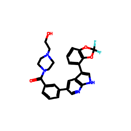 O=C(c1cccc(-c2cnc3[nH]cc(-c4cccc5c4OC(F)(F)O5)c3c2)c1)N1CCN(CCO)CC1